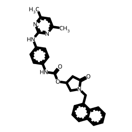 Cc1cc(C)nc(Nc2ccc(NC(=O)OC3CC(=O)N(Cc4cccc5ccccc45)C3)cc2)n1